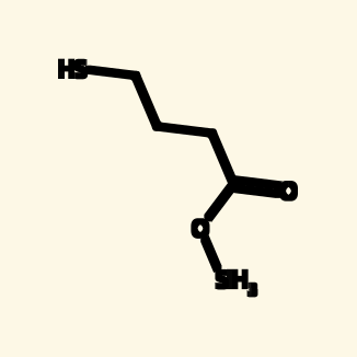 O=C(CCCS)O[SiH3]